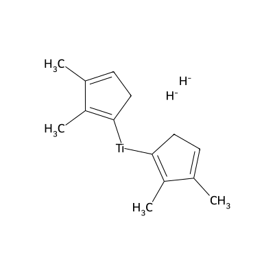 CC1=CC[C]([Ti][C]2=C(C)C(C)=CC2)=C1C.[H-].[H-]